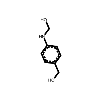 OCNc1ccc(CO)cc1